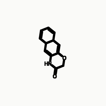 O=C1COC2=CC3C=CC=CC3C=C2N1